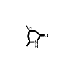 C[C@H]1CC(=O)NC(I)C1